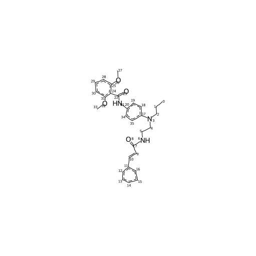 CCCN(CCNC(=O)/C=C/c1ccccc1)c1ccc(NC(=O)c2c(OC)cccc2OC)cc1